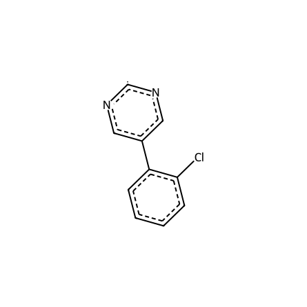 Clc1ccccc1-c1cn[c]nc1